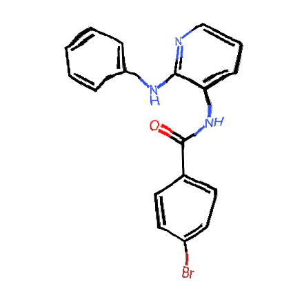 O=C(Nc1cccnc1Nc1ccccc1)c1ccc(Br)cc1